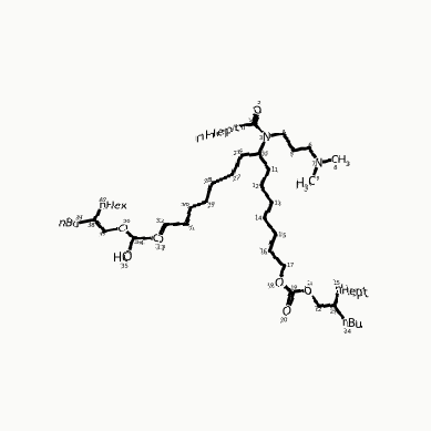 CCCCCCCC(=O)N(CCCN(C)C)C(CCCCCCCOC(=O)OCC(CCCC)CCCCCCC)CCCCCCCOC(O)OCC(CCCC)CCCCCC